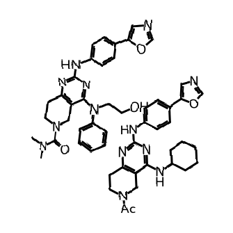 CC(=O)N1CCc2nc(Nc3ccc(-c4cnco4)cc3)nc(NC3CCCCC3)c2C1.CN(C)C(=O)N1CCc2nc(Nc3ccc(-c4cnco4)cc3)nc(N(CCO)c3ccccc3)c2C1